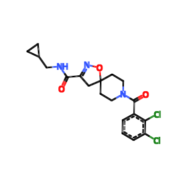 O=C(NCC1CC1)C1=NOC2(CCN(C(=O)c3cccc(Cl)c3Cl)CC2)C1